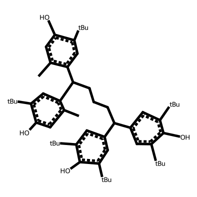 Cc1cc(O)c(C(C)(C)C)cc1C(CCCC(c1cc(C(C)(C)C)c(O)c(C(C)(C)C)c1)c1cc(C(C)(C)C)c(O)c(C(C)(C)C)c1)c1cc(C(C)(C)C)c(O)cc1C